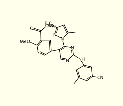 COC(=O)c1cc(-c2cnc(Nc3cc(C)cc(C#N)c3)nc2-n2nc(C(F)(F)F)cc2C)cnc1OC